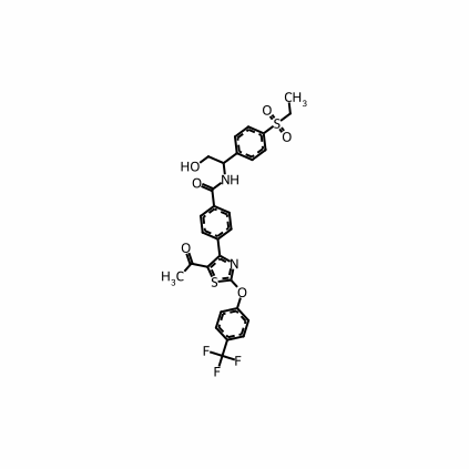 CCS(=O)(=O)c1ccc(C(CO)NC(=O)c2ccc(-c3nc(Oc4ccc(C(F)(F)F)cc4)sc3C(C)=O)cc2)cc1